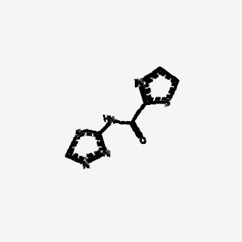 O=C(Nc1nncs1)c1nccs1